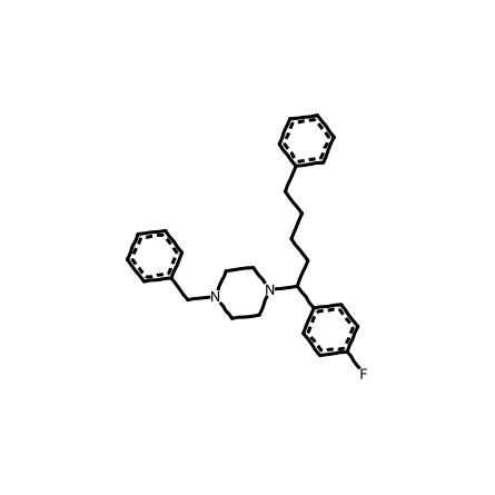 Fc1ccc(C(CCCCc2ccccc2)N2CCN(Cc3ccccc3)CC2)cc1